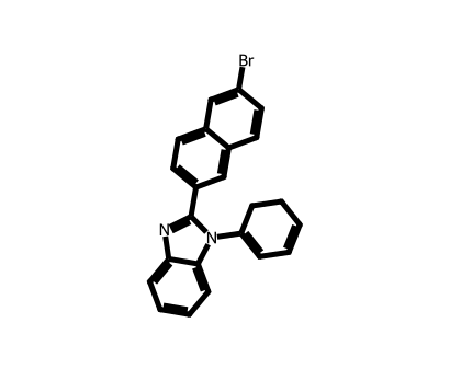 Brc1ccc2cc(-c3nc4ccccc4n3C3=CC=CCC3)ccc2c1